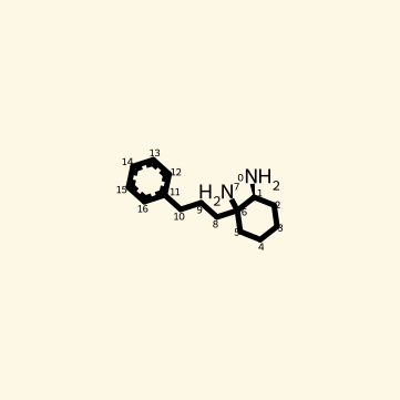 N[C@H]1CCCCC1(N)CCCc1ccccc1